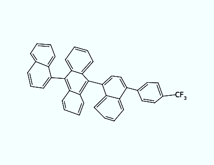 FC(F)(F)c1ccc(-c2ccc(-c3c4ccccc4c(-c4cccc5ccccc45)c4ccccc34)c3ccccc23)cc1